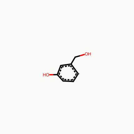 OCc1[c]ccc(O)c1